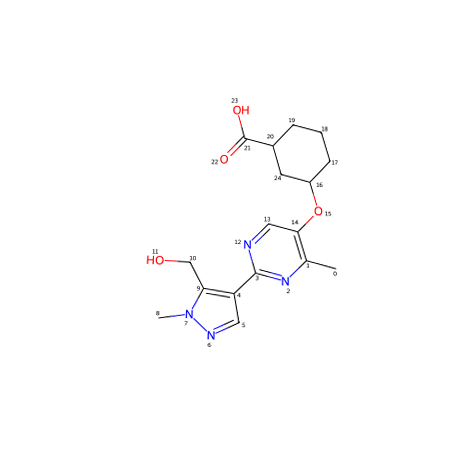 Cc1nc(-c2cnn(C)c2CO)ncc1OC1CCCC(C(=O)O)C1